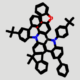 CC(C)(C)c1ccc(N2B3c4cc5oc6ccccc6c5cc4N(c4ccc(C(C)(C)C)cc4-c4ccccc4)c4cc5c(c(c43)-c3cc(-c4ccccc4)ccc32)-c2ccccc2C5(C)C)cc1